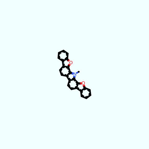 Cn1c2c(ccc3c4ccccc4oc32)c2ccc3c4ccccc4oc3c21